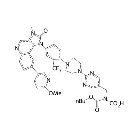 CCCCOC(=O)N(Cc1cnc(N2CCN(c3ccc(-n4c(=O)n(C)c5cnc6ccc(-c7ccc(OC)nc7)cc6c54)cc3C(F)(F)F)CC2)nc1)C(=O)O